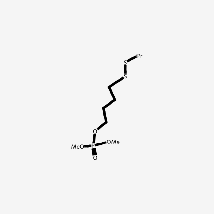 COP(=O)(OC)OCCCCSSC(C)C